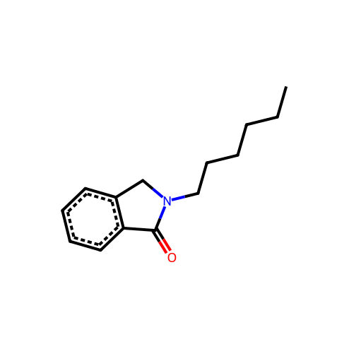 CCCCCCN1Cc2ccccc2C1=O